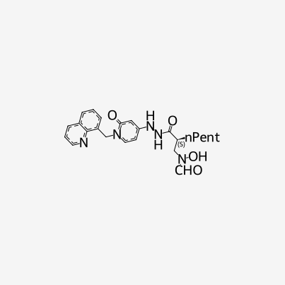 CCCCC[C@@H](CN(O)C=O)C(=O)NNc1ccn(Cc2cccc3cccnc23)c(=O)c1